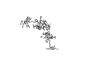 N=C(N)NCCCCC(=O)Nc1cc(CF)cc(NC(=O)c2cc(C(=O)Nc3cc(CF)cc(NC(=O)CCCCNC(=N)N)c3O[C@H]3CCNC3)ncn2)c1O[C@H]1CCNC1